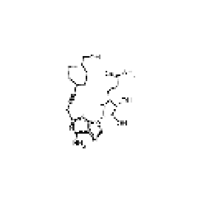 NC(=O)CC[C@@H]1O[C@@H](n2cnc3c(N)nc(CC#CC4CCC(CO)CC4)nc32)[C@H](O)[C@H]1O